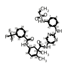 C=CS(=O)(=O)Nc1cccc(Nc2ncc(NC(=O)C3(C)CC(NC(=O)c4cccc(C(F)(F)F)c4)=CC=C3C)cn2)c1